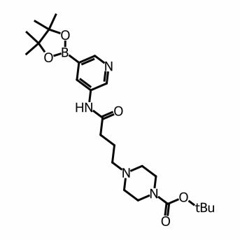 CC(C)(C)OC(=O)N1CCN(CCCC(=O)Nc2cncc(B3OC(C)(C)C(C)(C)O3)c2)CC1